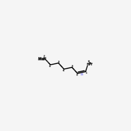 CCC/C=C\CCCCNC